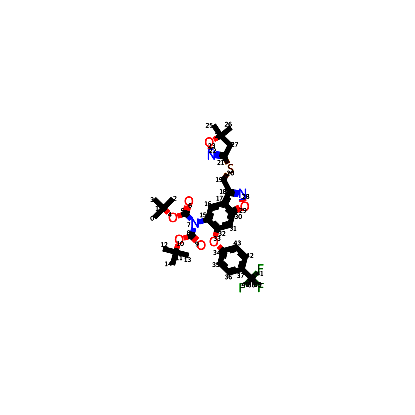 CC(C)(C)OC(=O)N(C(=O)OC(C)(C)C)c1cc2c(CSC3=NOC(C)(C)C3)noc2cc1Oc1ccc(C(F)(F)F)cc1